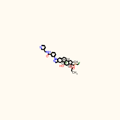 CCC(=O)O[C@]1(C(=O)SCF)[C@H](C)C[C@H]2[C@@H]3CCC4=Cc5c(cnn5-c5cccc(C(=O)NCc6cccnc6)c5)C[C@]4(C)[C@@]3(F)[C@@H](O)C[C@@]21C